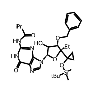 CC[C@@]1(C2(O[Si](C)(C)C(C)(C)C)CC2)O[C@@H](n2cnc3c(=O)[nH]c(NC(=O)C(C)C)nc32)C(O)[C@H]1OCc1ccccc1